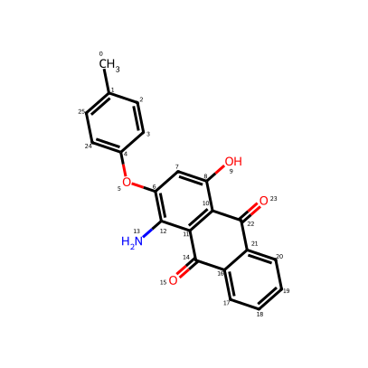 Cc1ccc(Oc2cc(O)c3c(c2N)C(=O)c2ccccc2C3=O)cc1